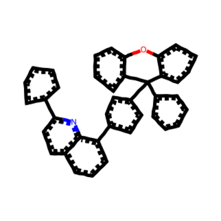 c1ccc(-c2ccc3cccc(-c4ccc(C5(c6ccccc6)c6ccccc6Oc6ccccc65)cc4)c3n2)cc1